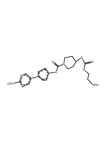 CCCCCCCCCCCCOC(=O)OC1CCN(C(=O)Oc2ccc(-c3cnc(CCCCCCCC)nc3)cc2)CC1